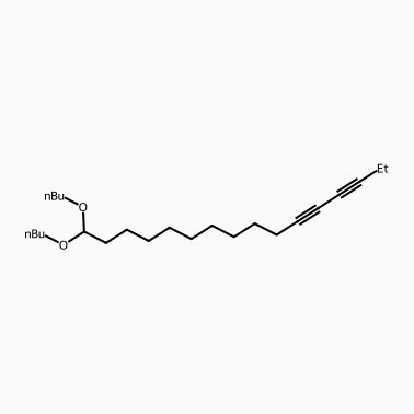 CCC#CC#CCCCCCCCCCC(OCCCC)OCCCC